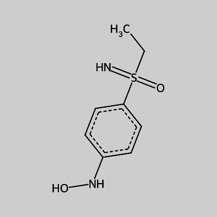 CCS(=N)(=O)c1ccc(NO)cc1